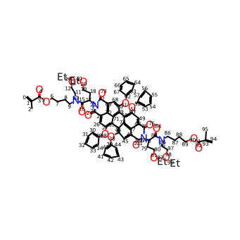 C=C(C)C(=O)OCCCCN(CCOCC)C(=O)C(CCOCC)N1C(=O)c2cc(Oc3ccccc3)c3c4c(Oc5ccccc5)cc5c6c(cc(Oc7ccccc7)c(c7c(Oc8ccccc8)cc(c2c37)C1=O)c64)C(=O)N(C(CCOCC)C(=O)N(CCCCOC(=O)C(=C)C)CCOCC)C5=O